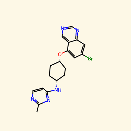 Cc1nccc(N[C@H]2CC[C@@H](Oc3cc(Br)cc4ncncc34)CC2)n1